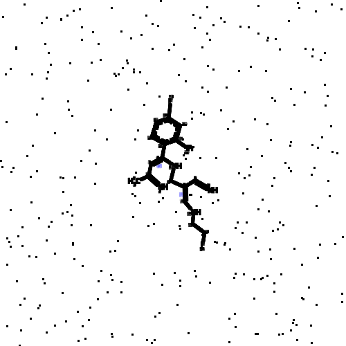 CC(=N)/C=C(\NC/C(C=N)=C/NCCF)c1ccc(F)cc1C(C)C